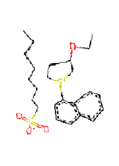 CCCCCCCCS(=O)(=O)[O-].CCOC1CC[S+](c2cccc3ccccc23)C1